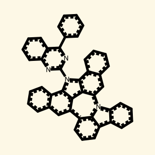 c1ccc(-c2nc(-n3c4c5ccccc5cc5c6cccc7c8ccccc8n(c8cc9ccccc9c3c8c54)c67)nc3ccccc23)cc1